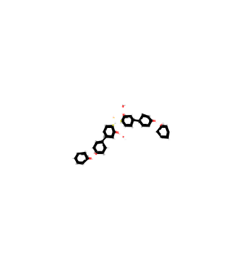 COc1cc(-c2ccc(Oc3ccccc3)cc2)ccc1[S+]([O-])c1ccc(-c2ccc(Oc3ccccc3)cc2)cc1OC